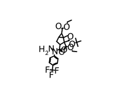 CCOC(=O)C1C2CC(C(=O)N(N)c3ccc(C(F)(F)F)cc3)C(C(=O)OCC)(C(=O)OC(C)(C)C)C21C